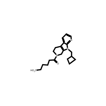 O=C(O)CCCCC(=O)N1CCc2c(n(CC3CCC3)c3ncccc23)C1